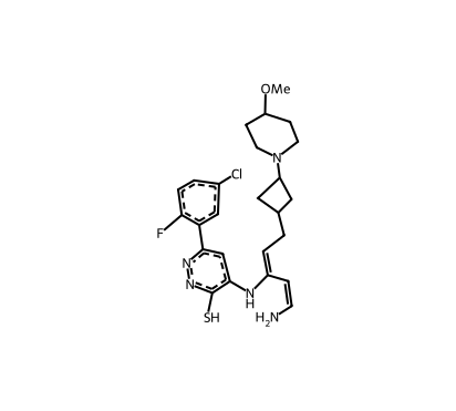 COC1CCN(C2CC(C/C=C(\C=C/N)Nc3cc(-c4cc(Cl)ccc4F)nnc3S)C2)CC1